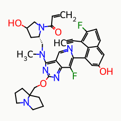 C#Cc1c(F)ccc2cc(O)cc(-c3ncc4c(N(C)C[C@@H]5CC(O)CN5C(=O)C=C)nc(OCC56CCCN5CCC6)nc4c3F)c12